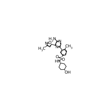 Cc1cc(-c2nc(-c3cc(S(=O)(=O)N[C@H]4CC[C@H](O)CC4)ccc3C)cnc2N)on1